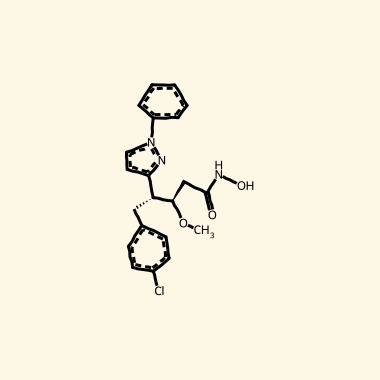 CO[C@H](CC(=O)NO)[C@H](Cc1ccc(Cl)cc1)c1ccn(-c2ccccc2)n1